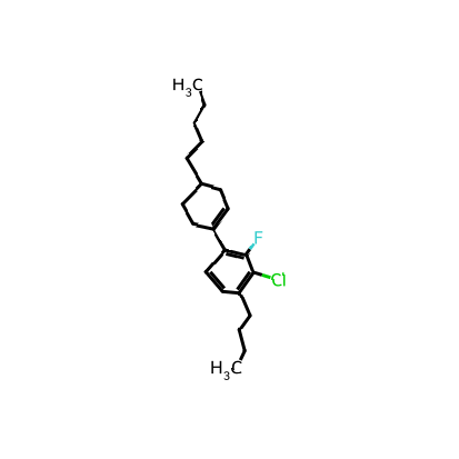 CCCCCC1CC=C(c2ccc(CCCC)c(Cl)c2F)CC1